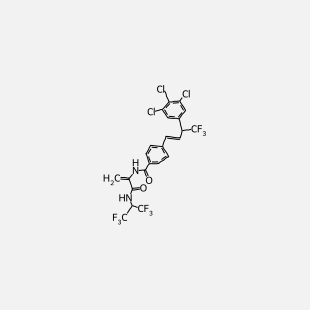 C=C(NC(=O)c1ccc(/C=C/C(c2cc(Cl)c(Cl)c(Cl)c2)C(F)(F)F)cc1)C(=O)NC(C(F)(F)F)C(F)(F)F